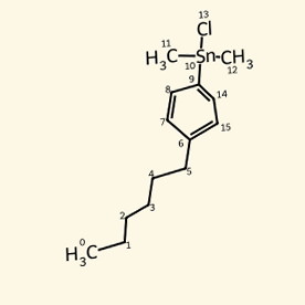 CCCCCCc1cc[c]([Sn]([CH3])([CH3])[Cl])cc1